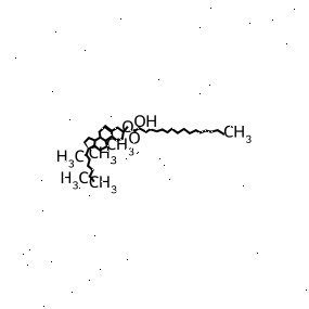 CCCCCCCCCCCCCCCCC(O)C(=O)OC1CC[C@@]2(C)C(=CCC3C2CC[C@@]2(C)C3CC[C@@H]2[C@H](C)CCCC(C)C)C1